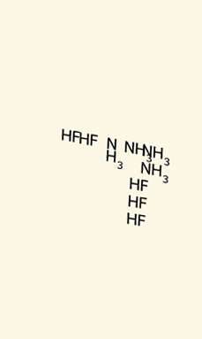 F.F.F.F.F.N.N.N.N